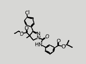 CCOC(=O)C1(C)CN(C(=O)Nc2cccc(C(=O)OC(C)C)c2)N=C1c1ccc(Cl)cc1